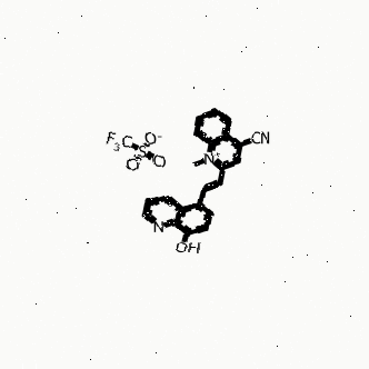 C[n+]1c(C=Cc2ccc(O)c3ncccc23)cc(C#N)c2ccccc21.O=S(=O)([O-])C(F)(F)F